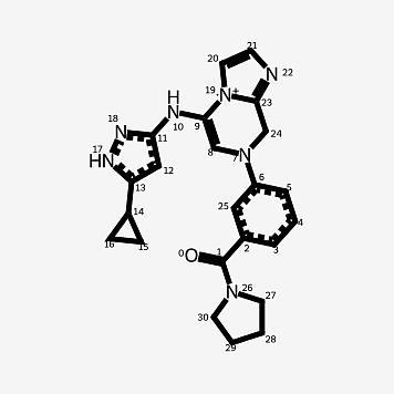 O=C(c1cccc(N2C=C(Nc3cc(C4CC4)[nH]n3)[N+]3C=CN=C3C2)c1)N1CCCC1